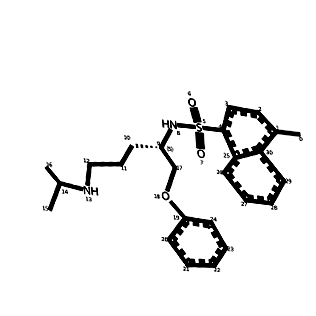 Cc1ccc(S(=O)(=O)N[C@@H](CCCNC(C)C)COc2ccccc2)c2ccccc12